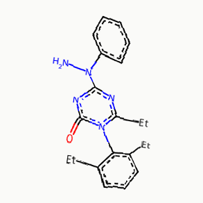 CCc1cccc(CC)c1-n1c(CC)nc(N(N)c2ccccc2)nc1=O